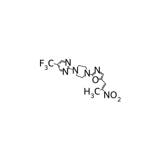 CC(=Cc1cnc(N2CCN(c3ncc(C(F)(F)F)cn3)CC2)o1)[N+](=O)[O-]